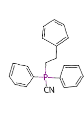 N#C[P](CCc1ccccc1)(c1ccccc1)c1ccccc1